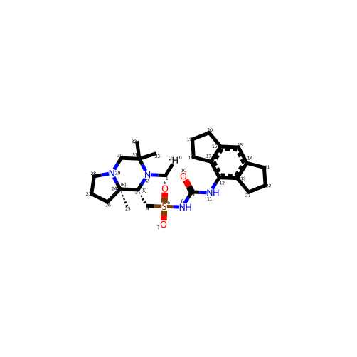 [2H]CN1[C@H](CS(=O)(=O)NC(=O)Nc2c3c(cc4c2CCC4)CCC3)[C@@]2(C)CCCN2CC1(C)C